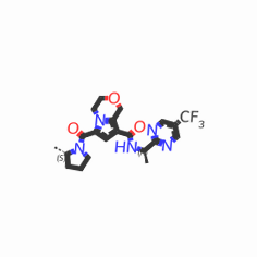 C[C@@H](NC(=O)c1cc(C(=O)N2CCC[C@@H]2C)n2c1COCC2)c1ncc(C(F)(F)F)cn1